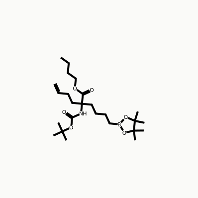 C=CCCC(CCCCB1OC(C)(C)C(C)(C)O1)(NC(=O)OC(C)(C)C)C(=O)OCCCC